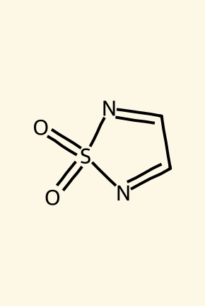 O=S1(=O)N=CC=N1